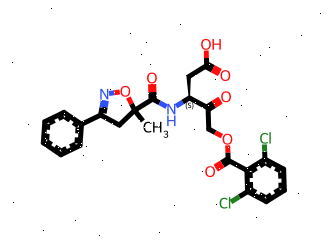 CC1(C(=O)N[C@@H](CC(=O)O)C(=O)COC(=O)c2c(Cl)cccc2Cl)CC(c2ccccc2)=NO1